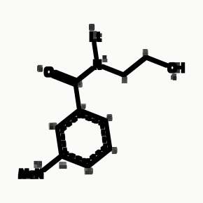 CCN(CCO)C(=O)c1cccc(NC)c1